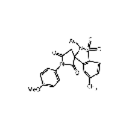 COc1ccc(N2C(=O)CC3(C2=O)c2cc(C)ccc2S(=O)(=O)N3C(C)=O)cc1